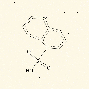 O=S(=O)(O)c1cc[c]c2[c]cccc12